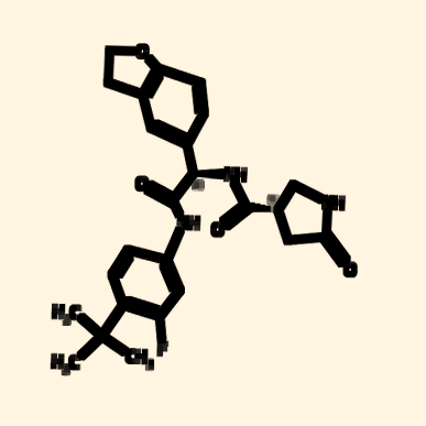 CC(C)(C)c1ccc(NC(=O)[C@H](NC(=O)[C@@H]2CNC(=O)C2)c2ccc3c(c2)CCO3)cc1F